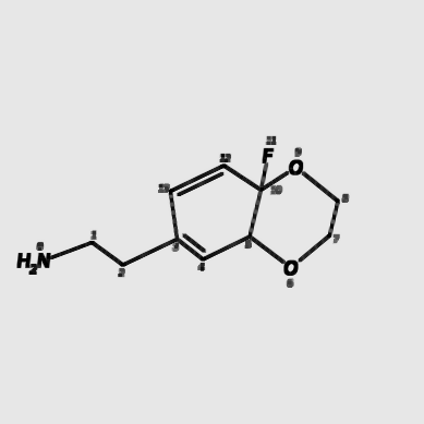 NCCC1=CC2OCCOC2(F)C=C1